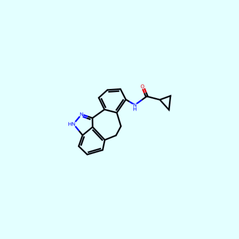 O=C(Nc1cccc2c1CCc1cccc3[nH]nc-2c13)C1CC1